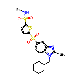 CCNS(=O)(=O)c1ccc(S(=O)(=O)c2ccc3c(c2)nc(C(C)(C)C)n3CC2CCCCC2)s1